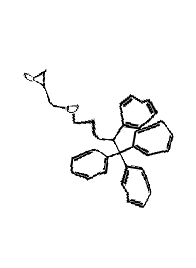 c1ccc(C(CCCOCC2CO2)C(c2ccccc2)(c2ccccc2)c2ccccc2)cc1